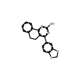 Oc1nc(-c2ccc3c(c2)OCO3)c2c(n1)-c1ccccc1CC2